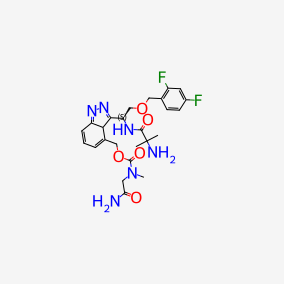 CN(CC(N)=O)C(=O)OCC1=CC=CC2=NN=C([C@@H](COCc3ccc(F)cc3F)NC(=O)C(C)(C)N)C12